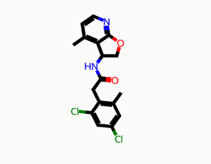 Cc1cc(Cl)cc(Cl)c1CC(=O)NC1COc2nccc(C)c21